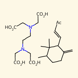 C=C1CCC(C)C(C)(C)C1C=CC(C)=O.O=C(O)CN(CCN(CC(=O)O)CC(=O)O)CC(=O)O